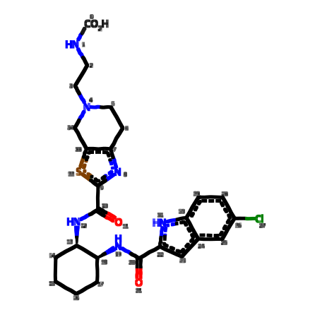 O=C(O)NCCN1CCc2nc(C(=O)N[C@@H]3CCCC[C@@H]3NC(=O)c3cc4cc(Cl)ccc4[nH]3)sc2C1